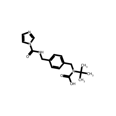 CC(C)(C)N(Cc1ccc(CNC(=O)n2ccnc2)cc1)C(=O)O